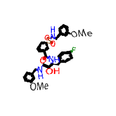 COc1cccc(CNC[C@@H](O)[C@H](Cc2ccc(F)cc2)NC(=O)c2cccc(S(=O)(=O)NCc3cccc(OC)c3)c2)c1